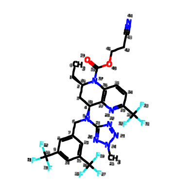 CC[C@@H]1C[C@H](N(Cc2cc(C(F)(F)F)cc(C(F)(F)F)c2)c2nnn(C)n2)c2nc(C(F)(F)F)ccc2N1C(=O)OCCC#N